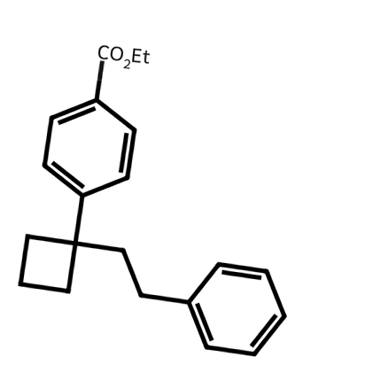 CCOC(=O)c1ccc(C2(CCc3ccccc3)CCC2)cc1